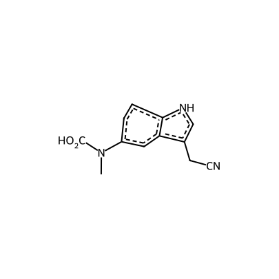 CN(C(=O)O)c1ccc2[nH]cc(CC#N)c2c1